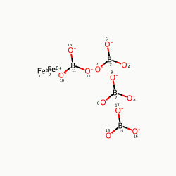 [Fe+6].[Fe+6].[O-]B([O-])[O-].[O-]B([O-])[O-].[O-]B([O-])[O-].[O-]B([O-])[O-]